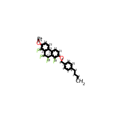 C=CCCc1ccc(COc2ccc3c(c2F)C(F)C(F)c2c-3ccc(OCC)c2F)cc1